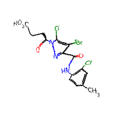 Cc1ccc(NC(=O)c2nn(C(=O)CCC(=O)O)c(Cl)c2Br)c(Cl)c1